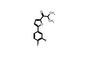 CC(C)C(=O)c1ccc(-c2ccc(F)c(F)c2)o1